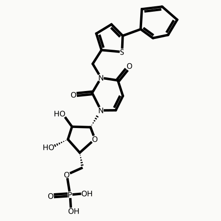 O=c1ccn([C@@H]2O[C@H](COP(=O)(O)O)[C@H](O)C2O)c(=O)n1Cc1ccc(-c2ccccc2)s1